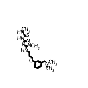 CNC(=S)Nc1nc(NCCCOc2cccc(CN(C)C)c2)n(C)n1